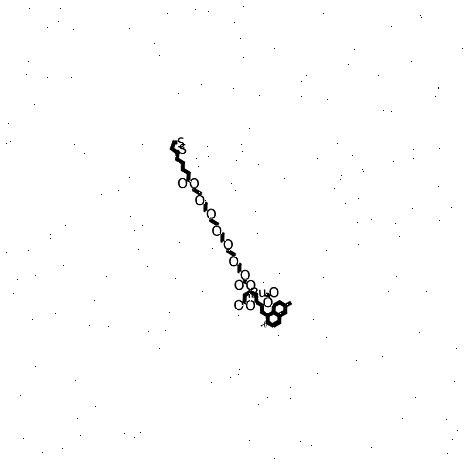 CCC(C)C(=O)OC1CC(C)C=C2C=C[C@H](C)C(CCC3CC(OC(=O)OCCOCCOCCOCCOCCOCCOC(=O)CCCCC4CCSS4)CC(=O)O3)C21